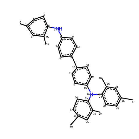 Cc1ccc(Nc2ccc(-c3ccc(N(c4ccc(C)cc4C)c4ccc(C)cc4C)cc3)cc2)c(C)c1